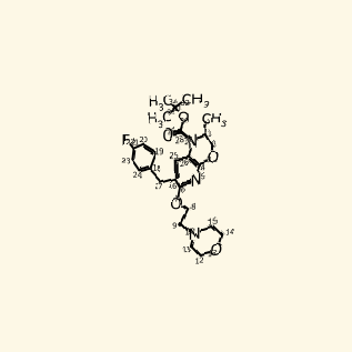 C[C@H]1COc2nc(OCCN3CCOCC3)c(Cc3ccc(F)cc3)cc2N1C(=O)OC(C)(C)C